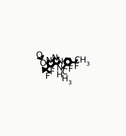 CC(F)c1cccc([C@@H](C)Nc2ncnc3nc(OC4COC4)c(C4(C(F)F)CC4)cc23)c1F